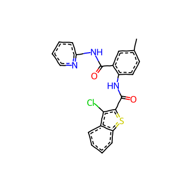 Cc1ccc(NC(=O)c2sc3ccccc3c2Cl)c(C(=O)Nc2ccccn2)c1